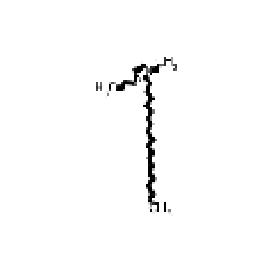 CCCCCCCCCCCCCCCCCCCc1n(CC)cc[n+]1CCCC